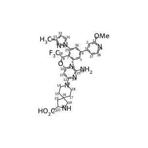 COc1cc(-c2ccc(C(Oc3cc(N4CCC5(CC4)CNC(C(=O)O)C5)nc(N)n3)C(F)(F)F)c(-n3ccc(C)n3)c2)ccn1